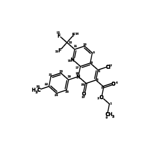 CCOC(=O)c1c(Cl)c2ccc(C(F)(F)F)nc2n(-c2ccc(C)cc2)c1=O